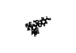 C=Cc1ccc(OC(OC)c2cc(C(F)(F)F)cc(C(F)(F)F)c2)cc1